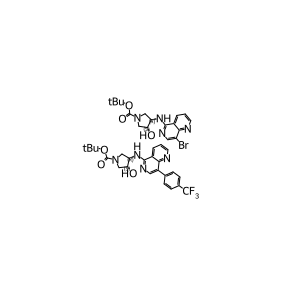 CC(C)(C)OC(=O)N1C[C@H](O)[C@H](Nc2ncc(-c3ccc(C(F)(F)F)cc3)c3ncccc23)C1.CC(C)(C)OC(=O)N1C[C@H](O)[C@H](Nc2ncc(Br)c3ncccc23)C1